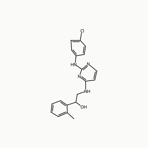 Cc1ccccc1C(O)CNc1ccnc(Nc2ccc(Cl)cc2)n1